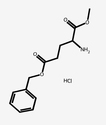 COC(=O)C(N)CCC(=O)OCc1ccccc1.Cl